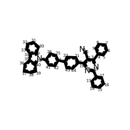 N#Cc1c(-c2ccccc2)nc(-c2ccccc2)nc1-c1ccc(-c2ccc(-n3c4ccccc4c4ccccc43)cc2)cc1